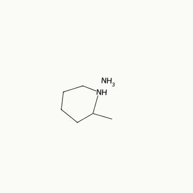 CC1CCCCN1.N